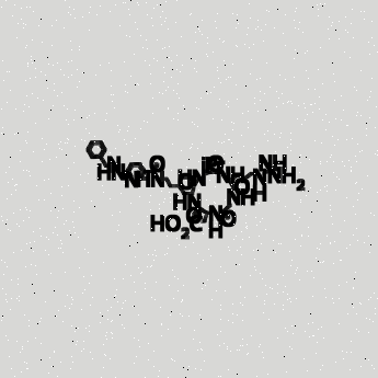 CC(C)[C@H]1NC(=O)[C@H](CCCCNC(=O)c2ccc(N/N=C/c3ccccc3)nc2)NC(=O)[C@H](CC(=O)O)NC(=O)CNC(=O)[C@H](CCCNC(=N)N)NC1=O